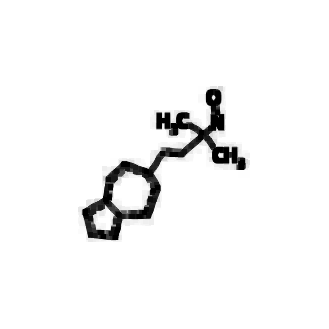 CC(C)(C=Cc1ccc2cccc-2cc1)N=O